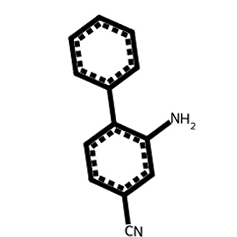 N#Cc1ccc(-c2ccccc2)c(N)c1